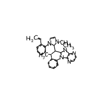 C=Cc1ccccc1N1C=CN(C)C1C1C(C)c2ccccc2N2c3nccnc3N(C)C12